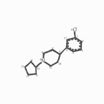 Clc1cccc(C2CCN(C3CCCC3)CC2)c1